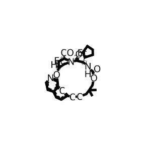 CCOC(=O)[C@@H]1C[C@H]2Oc3nccc4ccc(cc34)CCCC(C)(C)COC(=O)N[C@@H](C3CCCC3)C(=O)N1C2CC